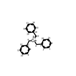 c1ccc([CH2][GeH]([CH2]c2ccccc2)[CH2]c2ccccc2)cc1